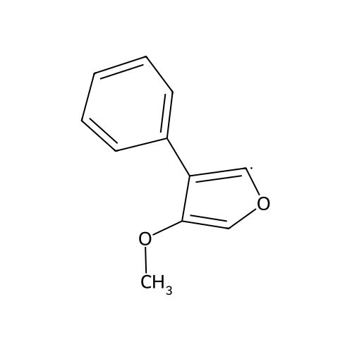 COc1co[c]c1-c1ccccc1